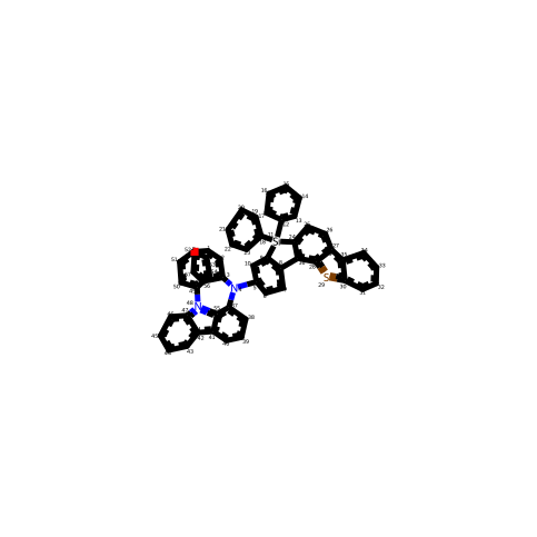 c1ccc(N(c2ccc3c(c2)[Si](c2ccccc2)(c2ccccc2)c2ccc4c(sc5ccccc54)c2-3)c2cccc3c4ccccc4n(-c4ccccc4)c23)cc1